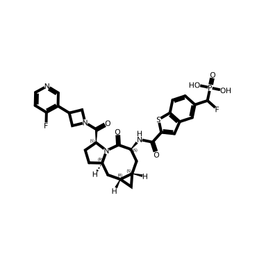 O=C(N[C@H]1C[C@@H]2C[C@@H]2C[C@H]2CC[C@@H](C(=O)N3CC(c4cnccc4F)C3)N2C1=O)c1cc2cc(C(F)P(=O)(O)O)ccc2s1